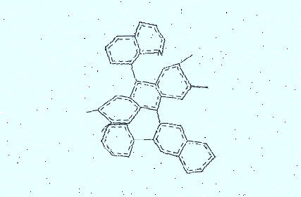 Cc1cc2c(-c3cc4ccccc4cc3-c3ccccc3)c3cc(C)c(C)cc3c(-c3cccc4cccnc34)c2cc1C